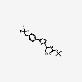 CC(C)(C)OC(=O)NC(CO)c1nnc(-c2ccc(OC(F)(F)F)cc2)o1